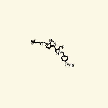 COc1ccc(Cn2ncc(-c3ncnc4c3ccn4COCC[Si](C)(C)C)c2CF)cc1